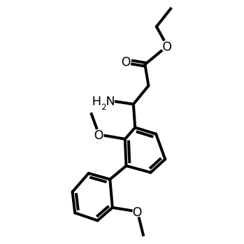 CCOC(=O)CC(N)c1cccc(-c2ccccc2OC)c1OC